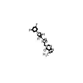 Cn1cnc2ncn(Cc3nc([C@H]4[C@@H]5CN(c6cc(F)cc(F)c6)C[C@@H]54)no3)c(=O)c21